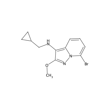 COc1nn2c(Br)cccc2c1NCC1CC1